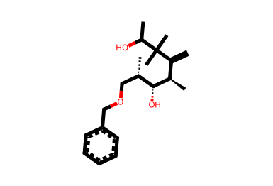 C=C([C@@H](C)[C@H](O)[C@@H](C)COCc1ccccc1)C(C)(C)C(C)O